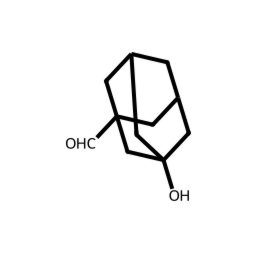 O=CC12CC3CC(CC(O)(C3)C1)C2